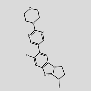 Fc1cc2nc3n(c2cc1-c1cnc(N2CCOCC2)nc1)CCC3F